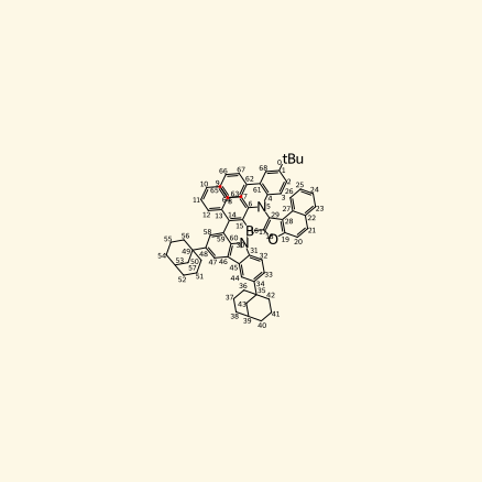 CC(C)(C)c1ccc(N2c3cc4ccccc4c4c3B(c3oc5ccc6ccccc6c5c32)n2c3ccc(C56CCCC(CCC5)C6)cc3c3cc(C56CCCC(CCC5)C6)cc-4c32)c(-c2ccccc2)c1